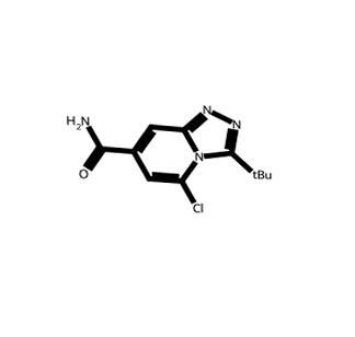 CC(C)(C)c1nnc2cc(C(N)=O)cc(Cl)n12